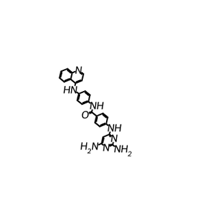 Nc1cc(Nc2ccc(C(=O)Nc3ccc(Nc4ccnc5ccccc45)cc3)cc2)nc(N)n1